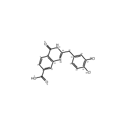 O=C(O)c1ccc2c(=O)[nH]c(Cc3ccc(Cl)c(Cl)c3)nc2c1